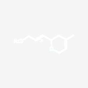 CC(=O)OC/C=C/C1CC(C)=CCO1